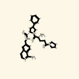 Nc1nccc2cc(CNC(=O)[C@@H]3CC(c4ccccc4)CN3C(=O)[C@H](N)CCC(=O)N3CCCC3)ccc12